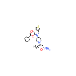 C[C@H](CC(N)=O)N1CCC(N(Cc2ccsc2)C2=COC=C(C3=CC=CCC3)O2)CC1